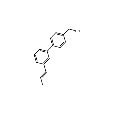 CC=Cc1cccc(-c2ccc(CO)cc2)c1